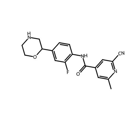 Cc1cc(C(=O)Nc2ccc(C3CNCCO3)cc2F)cc(C#N)n1